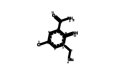 CC(C)(C)Cn1cc(Cl)cc(C(N)=O)c1=N